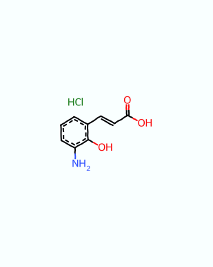 Cl.Nc1cccc(C=CC(=O)O)c1O